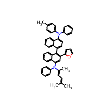 CC(C)=C/C=C(\C)N(c1ccccc1)c1cc(-c2ccco2)c(-c2ccc(N(c3ccccc3)c3ccc(C)cc3)c3ccccc23)c2ccccc12